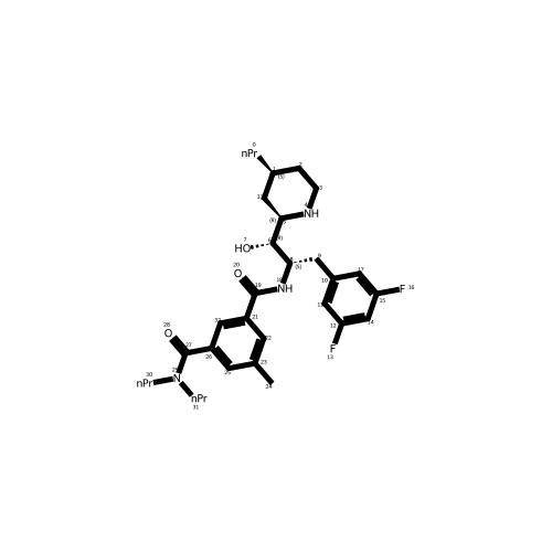 CCC[C@H]1CCN[C@@H]([C@@H](O)[C@H](Cc2cc(F)cc(F)c2)NC(=O)c2cc(C)cc(C(=O)N(CCC)CCC)c2)C1